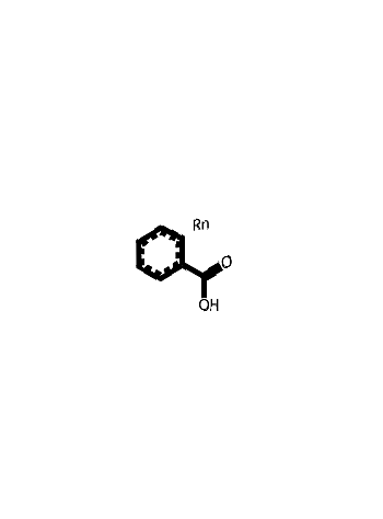 O=C(O)c1ccccc1.[Rn]